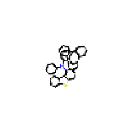 c1ccc(N(c2cccc3c2-c2c4cccc2-c2cccc-3c2-c2ccccc2-4)c2cccc3sc4ccccc4c23)cc1